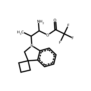 CC(C(N)OC(=O)C(F)(F)F)N1CC2(CCC2)c2ccccc21